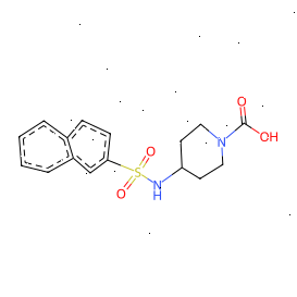 O=C(O)N1CCC(NS(=O)(=O)c2ccc3ccccc3c2)CC1